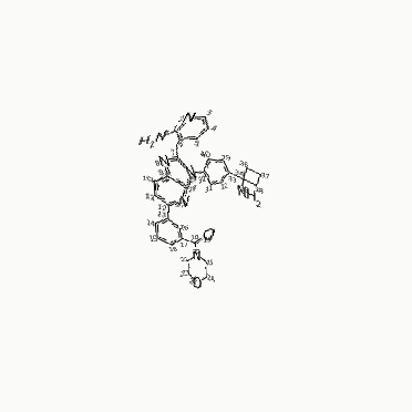 Nc1ncccc1-c1nc2ccc(-c3cccc(C(=O)N4CCOCC4)c3)nc2n1-c1ccc(C2(N)CCC2)cc1